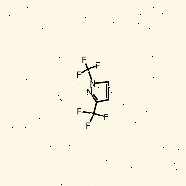 FC(F)(F)c1ccn(C(F)(F)F)n1